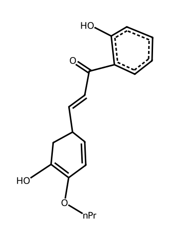 CCCOC1=C(O)CC(/C=C/C(=O)c2ccccc2O)C=C1